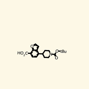 CC(C)(C)OC(=O)N1CCC(c2ccc(C(=O)O)c3occc23)CC1